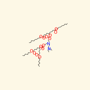 CCCCCCCCOC(=O)CCCC(CCCC(=O)OCCCCCCCC)OC(=O)OCCN(CCOC(=O)OC(CCCC(=O)OCCCCCC)CCCC(=O)OCCCCCC)CCN(CC)CC